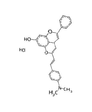 CN(C)c1ccc(C=CC2=CC3C=C(c4ccccc4)Oc4cc(O)cc(c43)O2)cc1.Cl